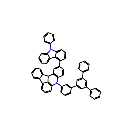 CC12c3ccccc3-c3cccc(c31)N(c1cccc(-c3cc(-c4ccccc4)cc(-c4ccccc4)c3)c1)c1ccc(-c3cccc4c3c3ccccc3n4-c3ccccc3)cc12